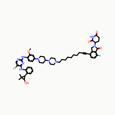 COc1cc(N2CCC(N3CCN(CCCCCCCCC#Cc4ccc(F)c5c4CN(C4CCC(=O)NC4=O)C5=O)CC3)CC2)ccc1Nc1ncc(Cl)c(Nc2ccccc2C2C(O)C2(C)C)n1